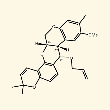 C=CCO[C@@H]1c2ccc3c(c2O[C@@H]2COc4cc(C)c(OC)cc4[C@H]12)C=CC(C)(C)O3